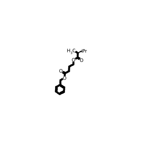 CC(C)[C@H](C)C(=O)OCCCC(=O)OCc1ccccc1